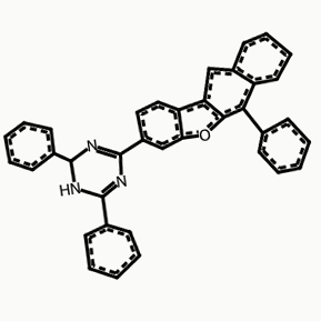 c1ccc(C2=NC(c3ccc4c(c3)oc3c(-c5ccccc5)c5ccccc5cc34)=NC(c3ccccc3)N2)cc1